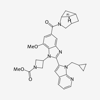 COC(=O)N1CC(n2c(-c3cc4cccnc4n3CC3CC3)nc3cc(C(=O)N4CC5CC6CC4[C@H]65)cc(OC)c32)C1